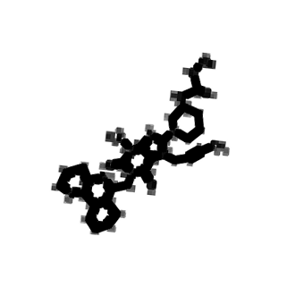 CC#CCn1c(N2CCC[C@@H](NC(=O)OC(C)(C)C)C2)nc2c1c(=O)n(Cc1nc3cccnc3c3ccccc13)c(=O)n2C